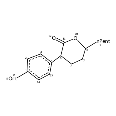 CCCCCCCCc1ccc(C2CCC(CCCCC)OC2=O)cc1